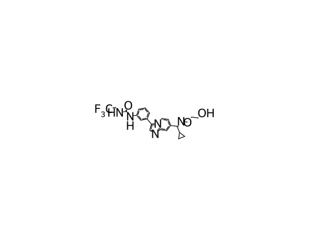 O=C(NCC(F)(F)F)Nc1cccc(-c2cnc3cc(C(=NOCCO)C4CC4)ccn23)c1